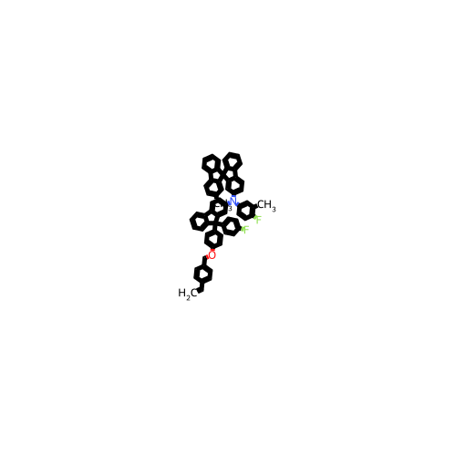 C=Cc1ccc(COc2ccc(C3(c4ccc(F)cc4)c4ccccc4-c4ccc(N(c5ccc(F)c(C)c5)c5ccc6c(c5)C5(c7ccccc7-c7ccc(C)cc75)c5ccccc5-6)cc43)cc2)cc1